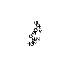 COc1ccc(F)c(-c2ccc(OCc3cccc(C(CC(=O)O)C(C)(C)C#N)c3)cc2CC(C)(C)C)c1